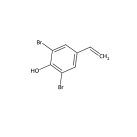 C=Cc1cc(Br)c(O)c(Br)c1